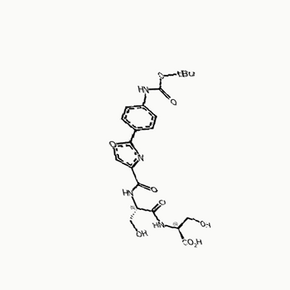 CC(C)(C)OC(=O)Nc1ccc(-c2nc(C(=O)N[C@@H](CO)C(=O)N[C@@H](CO)C(=O)O)co2)cc1